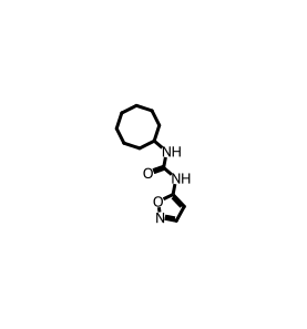 O=C(Nc1ccno1)NC1CCCCCCC1